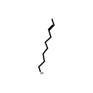 [CH2]C=CCCCCCCC(C)C